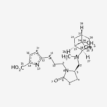 CN(C[C@H]1CCC(=O)N1CCSc1nc(C(=O)O)cs1)[C@@H]1CC[C@H]2C[C@H]1C2(C)C